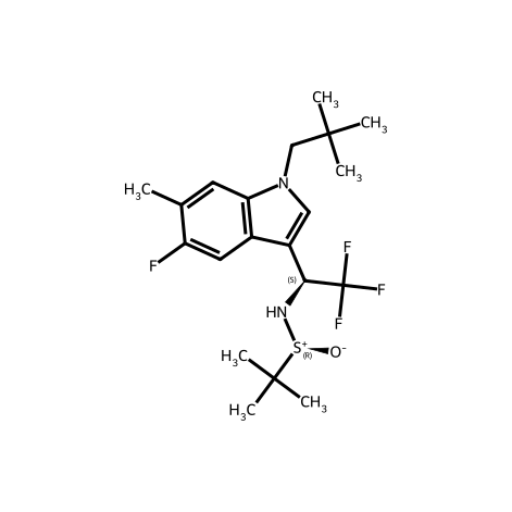 Cc1cc2c(cc1F)c([C@H](N[S@@+]([O-])C(C)(C)C)C(F)(F)F)cn2CC(C)(C)C